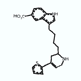 O=C(O)c1ccc2[nH]cc(CCCCC3CC(c4cccs4)=CCN3)c2c1